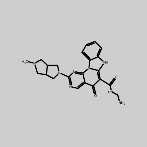 CN1CC2CN(c3ncc4c(=O)c(C(=O)NCN)c5[nH]c6ccccc6n5c4n3)CC2C1